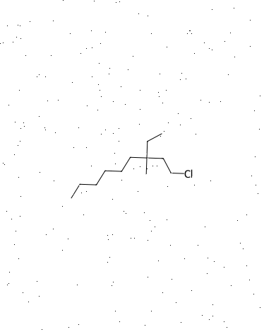 CCCCCCC(C)(CC)CCCl